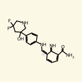 N=C1C(C(N)=O)=CC=C/C1=C/Nc1ccc(C2(O)CNCC(F)(F)C2)cc1